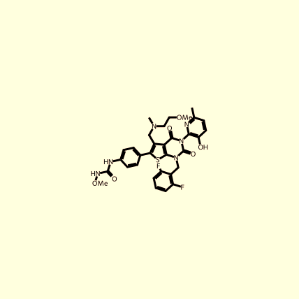 COCCN(C)Cc1c(-c2ccc(NC(=O)NOC)cc2)sc2c1c(=O)n(-c1nc(C)ccc1O)c(=O)n2Cc1c(F)cccc1F